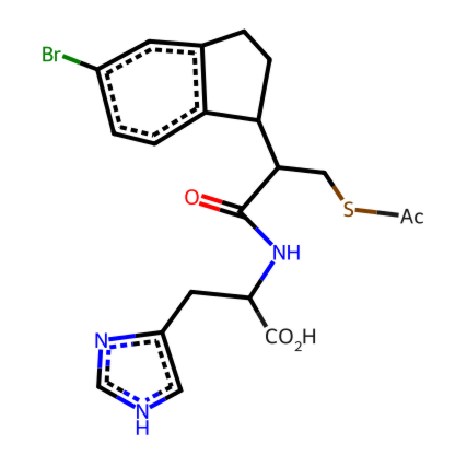 CC(=O)SCC(C(=O)NC(Cc1c[nH]cn1)C(=O)O)C1CCc2cc(Br)ccc21